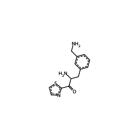 NCc1cccc(CC(N)C(=O)c2nccs2)c1